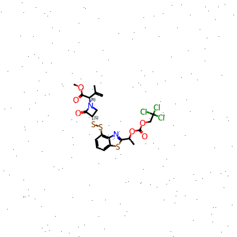 C=C(C)[C@H](C(=O)OC)N1C[C@H](SSc2cccc3sc(C(C)OC(=O)OCC(Cl)(Cl)Cl)nc23)C1=O